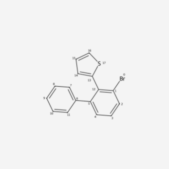 Brc1cccc(-c2ccccc2)c1-c1cccs1